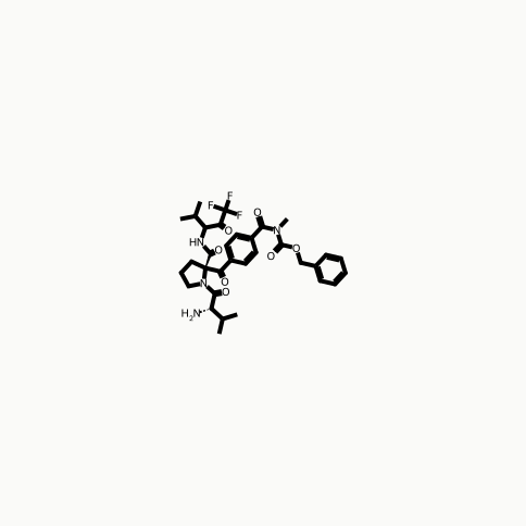 CC(C)C(NC(=O)[C@]1(C(=O)c2ccc(C(=O)N(C)C(=O)OCc3ccccc3)cc2)CCCN1C(=O)[C@@H](N)C(C)C)C(=O)C(F)(F)F